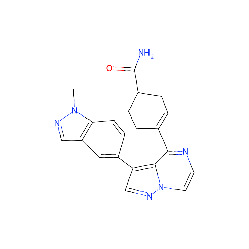 Cn1ncc2cc(-c3cnn4ccnc(C5=CCC(C(N)=O)CC5)c34)ccc21